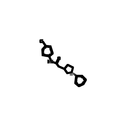 O=C(CC1CC[C@H](c2ccccc2)C1)Nc1ccc(Cl)cc1